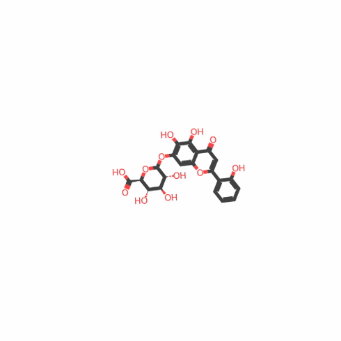 O=C(O)[C@H]1OC(Oc2cc3oc(-c4ccccc4O)cc(=O)c3c(O)c2O)[C@H](O)[C@@H](O)[C@@H]1O